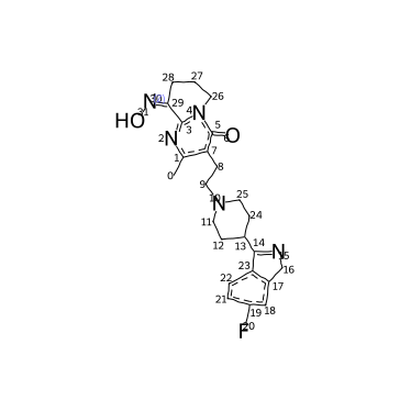 Cc1nc2n(c(=O)c1CCN1CCC(C3=NCc4cc(F)ccc43)CC1)CCC/C2=N/O